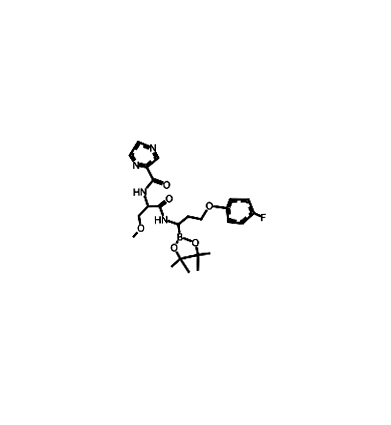 COCC(NC(=O)c1cnccn1)C(=O)NC(CCOc1ccc(F)cc1)B1OC(C)(C)C(C)(C)O1